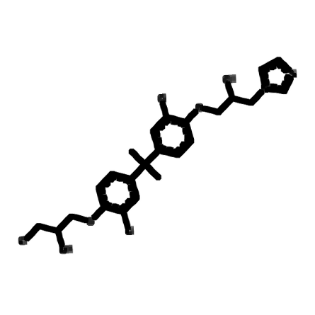 CC(C)(c1ccc(OCC(O)CCl)c(Cl)c1)c1ccc(OCC(O)Cn2ccnc2)c(Cl)c1